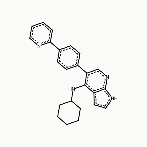 c1ccc(-c2ccc(-c3cnc4[nH]ccc4c3NC3CCCCC3)cc2)nc1